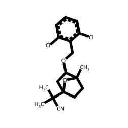 CC12CCC(C(C)(C)C#N)(CC1OCc1c(Cl)cccc1Cl)O2